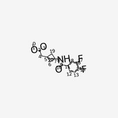 COC(=O)CC12CC(NC(=O)c3ccc(F)c(F)c3)(C1)C2